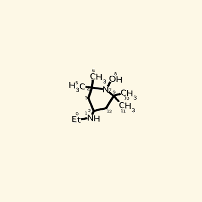 CCNC1CC(C)(C)N(O)C(C)(C)C1